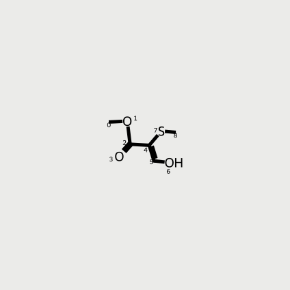 COC(=O)C(=CO)SC